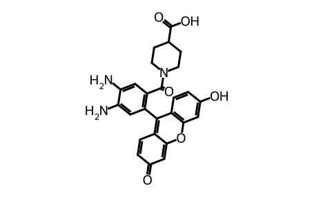 Nc1cc(C(=O)N2CCC(C(=O)O)CC2)c(-c2c3ccc(=O)cc-3oc3cc(O)ccc23)cc1N